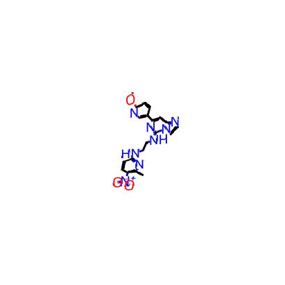 COc1ccc(-c2cc3nccn3c(NCCNc3ccc([N+](=O)[O-])c(C)n3)n2)cn1